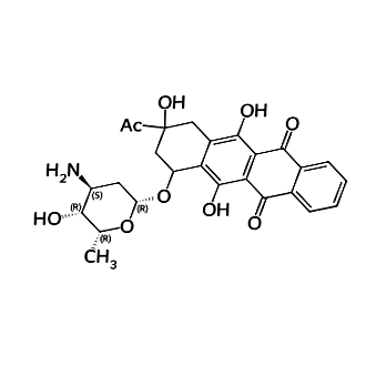 CC(=O)C1(O)Cc2c(O)c3c(c(O)c2C(O[C@H]2C[C@H](N)[C@@H](O)[C@@H](C)O2)C1)C(=O)c1ccccc1C3=O